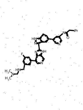 CC(C)CC(=O)Nc1cncc(-c2ccc3[nH]nc(-c4nc5c(-c6cc(F)cc(CNCN(C)C)c6)cncc5[nH]4)c3c2)c1